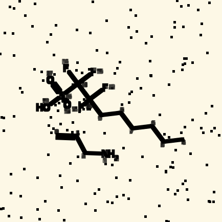 C=CCN.CCCCCCC(F)(F)C(F)(F)S(=O)(=O)O